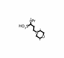 CCCC(CCN1CCOCC1)S(=O)(=O)O